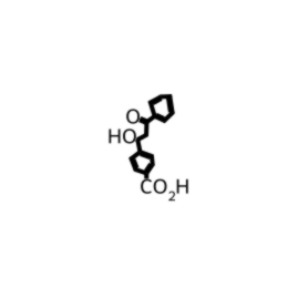 O=C(O)c1ccc(C(O)CC(=O)c2ccccc2)cc1